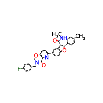 CNC(=O)c1c(-c2ccc(C)cc2)oc2ccc(-c3ccc4c(n3)C(=O)N(Cc3ccc(F)cc3)CO4)cc12